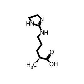 C[C@@H](CCCNC1=NCCN1)C(=O)O